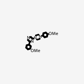 COc1ccc(N2CCN(c3cncc(-c4cccc(OC)c4)n3)CC2)cc1